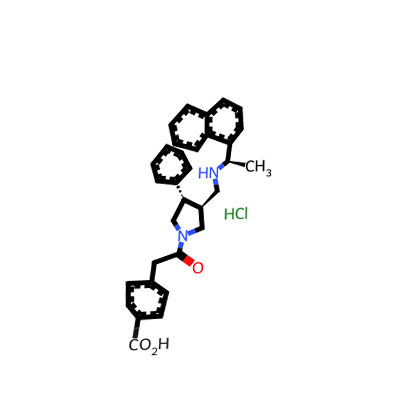 C[C@@H](NC[C@H]1CN(C(=O)Cc2ccc(C(=O)O)cc2)C[C@@H]1c1ccccc1)c1cccc2ccccc12.Cl